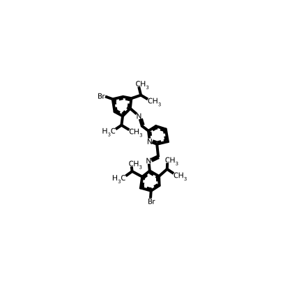 CC(C)c1cc(Br)cc(C(C)C)c1N=Cc1cccc(C=Nc2c(C(C)C)cc(Br)cc2C(C)C)n1